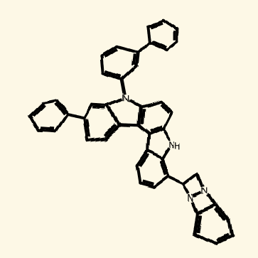 c1ccc(-c2cccc(-n3c4cc(-c5ccccc5)ccc4c4c5c(ccc43)[nH]c3c(C4Cn6c7ccccc7n64)cccc35)c2)cc1